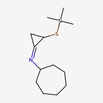 C[Si](C)(C)SC1CC1=NC1CCCCCC1